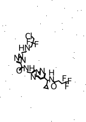 O=C(CCC(F)(F)F)NC(c1cnn2cc(CNC(=O)c3cnn(CCNCC(F)(F)CCl)n3)nc2c1)C1CC1